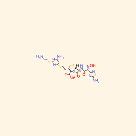 NCCSc1nc(N)cc(SC=CC2=C(C(=O)O)N3C(=O)[C@@H](NC(=O)C(=NO)c4nsc(N)n4)[C@H]3SC2)n1